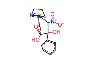 O=C(O)C(O)(c1ccccc1)C([C@H]1CN2CCC1CC2)[N+](=O)[O-]